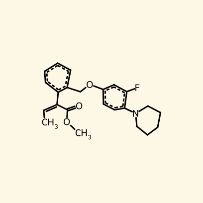 CC=C(C(=O)OC)c1ccccc1COc1ccc(N2CCCCC2)c(F)c1